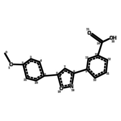 COc1ccc(-c2cc(-c3cccc(C(=O)O)c3)no2)cc1